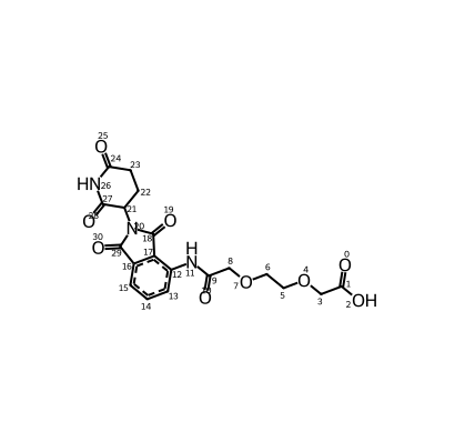 O=C(O)COCCOCC(=O)Nc1cccc2c1C(=O)N(C1CCC(=O)NC1=O)C2=O